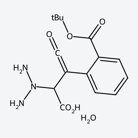 CC(C)(C)OC(=O)c1ccccc1C(=C=O)C(C(=O)O)N(N)N.O